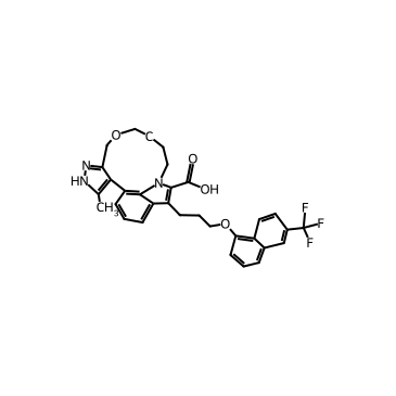 Cc1[nH]nc2c1-c1cccc3c(CCCOc4cccc5cc(C(F)(F)F)ccc45)c(C(=O)O)n(c13)CCCCOC2